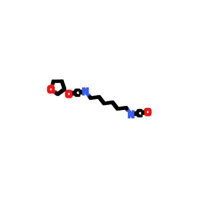 C1CCOC1.O=C=NCCCCCCN=C=O